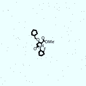 COC(=O)c1nn(-c2ccccc2F)c(=O)cc1OCc1ccccc1